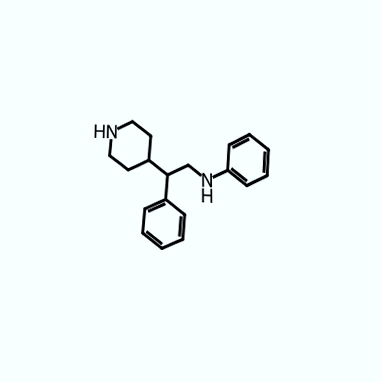 c1ccc(NCC(c2ccccc2)C2CCNCC2)cc1